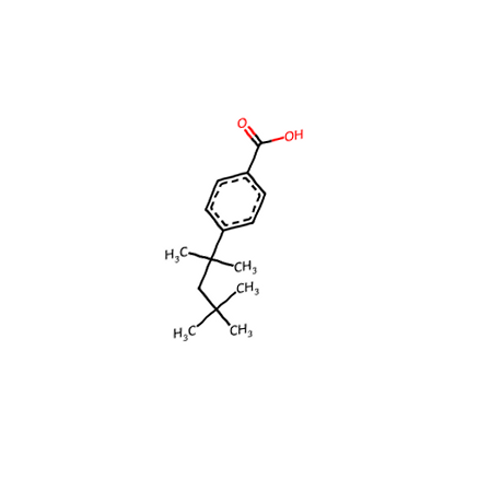 CC(C)(C)CC(C)(C)c1ccc(C(=O)O)cc1